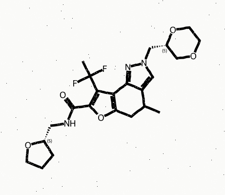 CC1Cc2oc(C(=O)NC[C@@H]3CCCO3)c(C(C)(F)F)c2-c2nn(C[C@H]3COCCO3)cc21